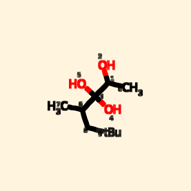 CC(O)C(O)(O)C(C)CC(C)(C)C